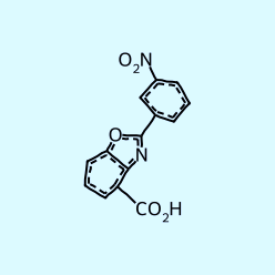 O=C(O)c1cccc2oc(-c3cccc([N+](=O)[O-])c3)nc12